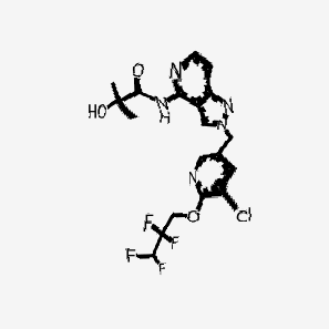 CC(C)(O)C(=O)Nc1nccc2nn(Cc3cnc(OCC(F)(F)C(F)F)c(Cl)c3)cc12